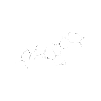 NC(=O)C(C[C@@H]1CCCNC1=O)NC(=O)C(CC1CC1)NC(=O)c1cc2c(Cl)c(F)ccc2[nH]1